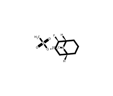 CS(=O)(=O)O[C@H]1C[C@H]2CCC[C@@H]([C@@H]1F)N2C(=O)O